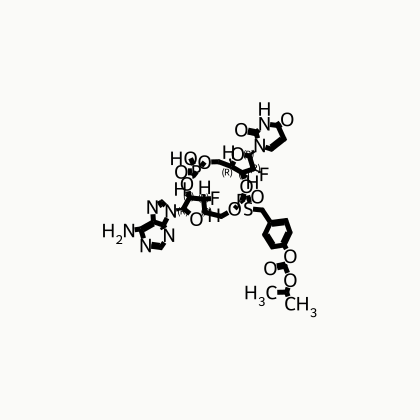 CC(C)OC(=O)Oc1ccc(CSP2(=O)OC[C@H]3O[C@@H](n4cnc5c(N)ncnc54)[C@H](OP(=O)(O)OC[C@H]4O[C@@H](n5ccc(=O)[nH]c5=O)[C@H](F)[C@@H]4O2)[C@@H]3F)cc1